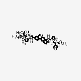 COC(=O)NC(C(=O)N1[C@@H](C)CC[C@H]1c1ncc(-c2ccc3c(c2)COc2cc4c(ccc5nc([C@@H]6CCCN6C(=O)[C@@H](NC(=O)OC)C6CCOCC6)[nH]c54)cc2-3)[nH]1)C(C)C